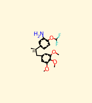 COc1cc(C[C@@H](C)c2ccc(OC(F)F)c(N)c2)cc(OC)c1OC